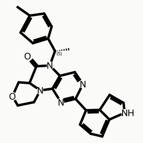 Cc1ccc([C@H](C)N2C(=O)C3COCCN3c3nc(-c4cccc5[nH]ccc45)ncc32)cc1